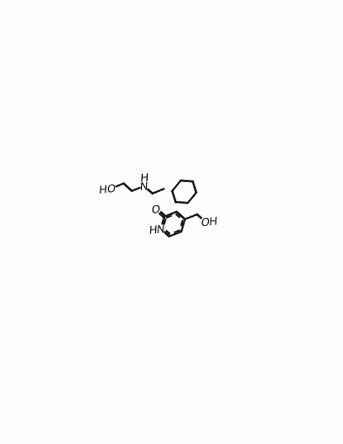 C1CCCCC1.CCNCCO.O=c1cc(CO)cc[nH]1